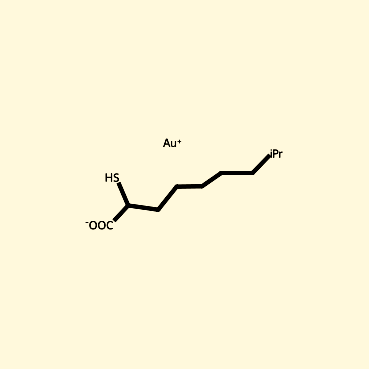 CC(C)CCCCCC(S)C(=O)[O-].[Au+]